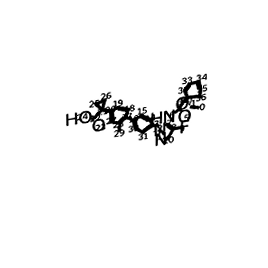 CC[C@]1(OC(=O)Nc2c(F)cnn2-c2ccc(-c3ccc(C4(C(=O)O)CC4)cc3C)cc2)C=CC=CC1